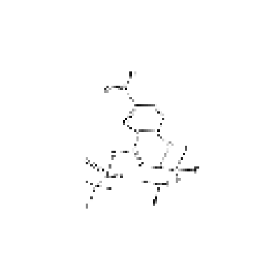 O=[N+]([O-])c1ccc2c(c1)C(OS(=O)(=O)C(F)(F)F)=CC(C(F)(F)F)(C(F)(F)F)O2